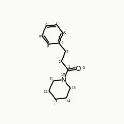 O=C(CCc1ccccc1)N1C[CH]CCC1